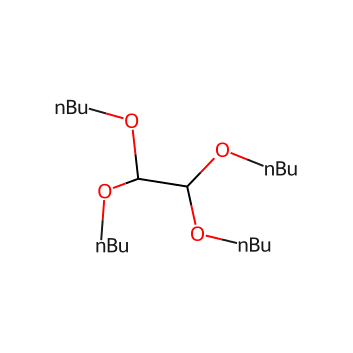 CCCCOC(OCCCC)C(OCCCC)OCCCC